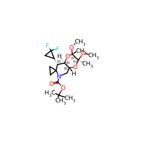 CO[C@@]1(C)O[C@@H]2[C@@H](C3CC3(F)F)C3(CC3)N(C(=O)OC(C)(C)C)C[C@H]2O[C@]1(C)OC